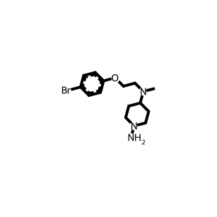 CN(CCOc1ccc(Br)cc1)C1CCN(N)CC1